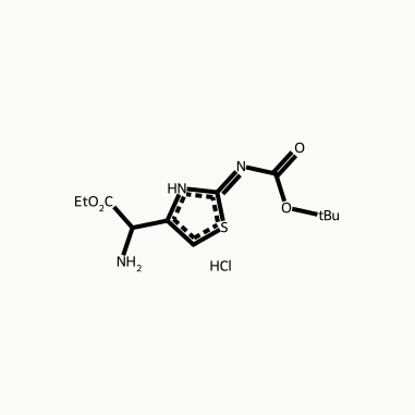 CCOC(=O)C(N)c1csc(=NC(=O)OC(C)(C)C)[nH]1.Cl